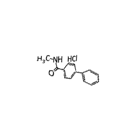 CNC(=O)c1ccc(-c2ccccc2)cc1.Cl